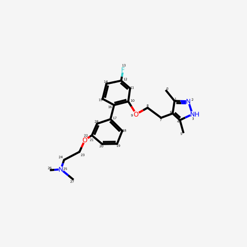 Cc1n[nH]c(C)c1CCOc1cc(F)ccc1-c1cccc(OCCN(C)C)c1